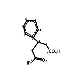 CC(C)C(=O)CC(CC(=O)O)c1ccccc1